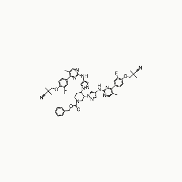 Cc1cnc(Nc2cnn(C3CCN(C(=O)OCc4ccccc4)CC3n3cc(Nc4ncc(C)c(-c5ccc(OCC(C)(C)C#N)c(F)c5)n4)cn3)c2)nc1-c1ccc(OCC(C)(C)C#N)c(F)c1